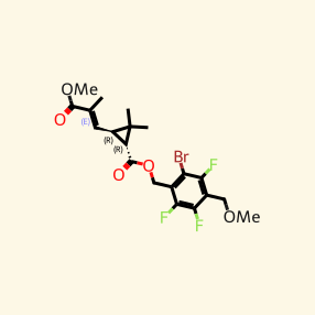 COCc1c(F)c(F)c(COC(=O)[C@@H]2[C@@H](/C=C(\C)C(=O)OC)C2(C)C)c(Br)c1F